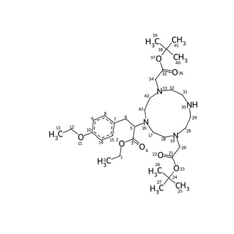 CCOC(=O)C(Cc1ccc(OCC)cc1)N1CCN(CC(=O)OC(C)(C)C)CCNCCN(CC(=O)OC(C)(C)C)CC1